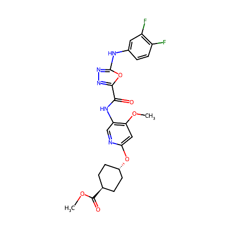 COc1cc(O[C@H]2CC[C@H](C(=O)OC)CC2)ncc1NC(=O)c1nnc(Nc2ccc(F)c(F)c2)o1